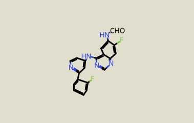 O=CNc1cc2c(Nc3ccnc(-c4ccccc4F)c3)ncnc2cc1F